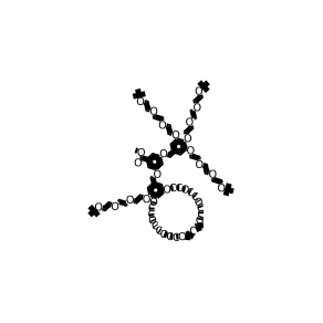 COC(=O)c1cc(OCc2cc(OCCOCCOCCOC(C)(C)C)c(OCCOCCOCCOC(C)(C)C)c(OCCOCCOCCOC(C)(C)C)c2)cc(OCc2cc(OCCOCCOCCOC(C)(C)C)c3c(c2)OCCOCCOCCOC(C)(C)CC(C)(C)OCCOCCOCCO3)c1